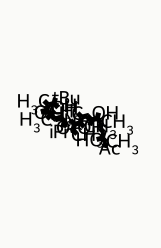 CC(=O)C(C)C(O)CCC(C)C(O)/C(C)=C/C(C)C(O)C(NC(=O)/C=C/C(C)(C)C(=O)C(C)C(O)C(C)(C)C)C(C)C(C)C